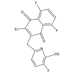 CCC1=C(Cc2ccc(F)c(C#N)n2)C(=O)c2c(F)ccc(F)c2C1=O